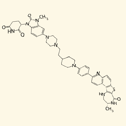 C[C@@H]1CNc2c(sc3ccc4nc(-c5ccc(N6CCC(CCN7CCN(c8ccc9c(c8)n(C)c(=O)n9C8CCC(=O)NC8=O)CC7)CC6)cc5)ccc4c23)C(=O)N1